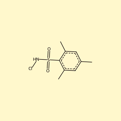 Cc1cc(C)c(S(=O)(=O)NCl)c(C)c1